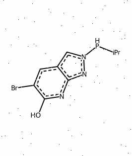 CC(C)Pn1cc2cc(Br)c(O)nc2n1